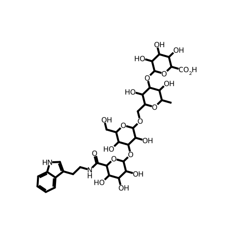 CC1OC(COC2OC(CO)C(O)C(OC3OC(C(=O)NCCc4c[nH]c5ccccc45)C(O)C(O)C3O)C2O)C(O)C(OC2OC(C(=O)O)C(O)C(O)C2O)C1O